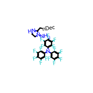 CCCCCCCCCCCC1NCCN1N.Fc1c(F)c(F)c(N(c2c(F)c(F)c(F)c(F)c2F)c2c(F)c(F)c(F)c(F)c2F)c(F)c1F